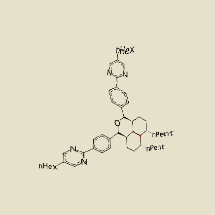 CCCCCCc1cnc(-c2ccc(C(OC(c3ccc(-c4ncc(CCCCCC)cn4)cc3)[C@H]3CC[C@H](CCCCC)CC3)[C@H]3CC[C@H](CCCCC)CC3)cc2)nc1